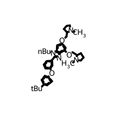 CCCCn1c(-c2cccc(Oc3ccc(C(C)(C)C)cc3)c2)nc2c(OCC3CCCN3C)cc(OCC3CCCN3C)cc21